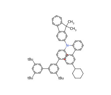 CC(C)(C)c1cc(-c2ccc(N(c3ccc4c(c3)C(C)(C)c3ccccc3-4)c3ccccc3-c3cccc(C4CCCCC4)c3)cc2)cc(-c2cc(C(C)(C)C)cc(C(C)(C)C)c2)c1